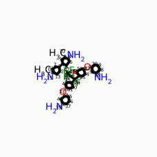 Cc1cc(-c2ccc(N)c(C)c2)ccc1N.Nc1cccc(Oc2ccc(C(F)(c3ccc(Oc4cccc(N)c4)cc3)C(F)(F)C(F)(F)F)cc2)c1